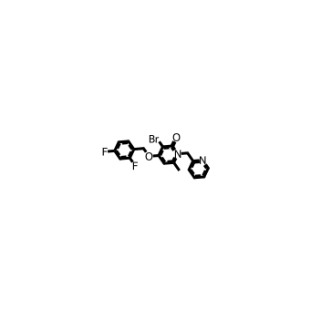 Cc1cc(OCc2ccc(F)cc2F)c(Br)c(=O)n1Cc1ccccn1